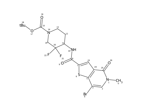 Cn1cc(Br)c2sc(C(=O)NC3CCN(C(=O)OC(C)(C)C)CC3(F)F)cc2c1=O